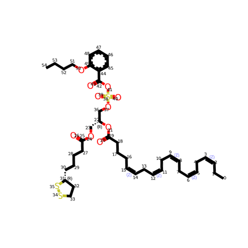 CC/C=C\C/C=C\C/C=C\C/C=C\C/C=C\CCCC(=O)O[C@H](COC(=O)CCCC[C@@H]1CCSS1)COS(=O)(=O)OC(=O)c1ccccc1OCCCC